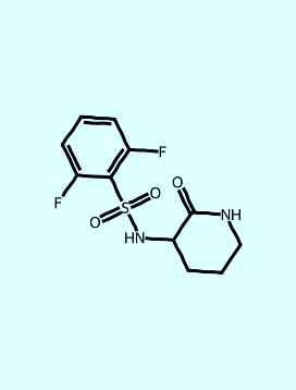 O=C1NCCCC1NS(=O)(=O)c1c(F)cccc1F